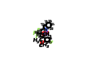 COc1cc(F)ccc1C(C)(C)CC(O)(Cc1cc2ccccc2[nH]1)C(F)(F)F